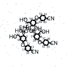 CCC(C)(OB(O)c1ccc(Oc2ccc(C#N)cc2)cc1CO)B(OB(O)c1ccc(Oc2ccc(C#N)cc2)cc1CO)c1ccc(Oc2ccc(C#N)cc2)cc1CO